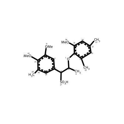 COc1cc(C(C(C)Oc2c(C)cc(C)cc2OC)S(=O)(=O)O)cc(C)c1OC